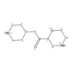 O=C(CC1CCNCC1)C1CNCCO1